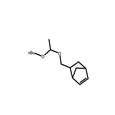 CCCCOC(C)OCC1CC2C=CC1C2